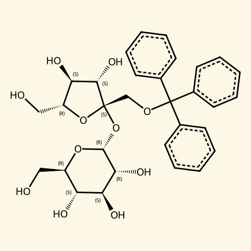 OC[C@H]1O[C@@](COC(c2ccccc2)(c2ccccc2)c2ccccc2)(O[C@H]2O[C@H](CO)[C@@H](O)[C@H](O)[C@H]2O)[C@@H](O)[C@@H]1O